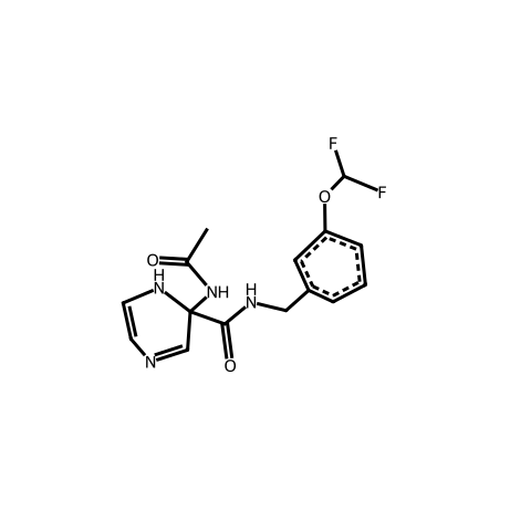 CC(=O)NC1(C(=O)NCc2cccc(OC(F)F)c2)C=NC=CN1